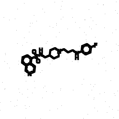 O=S(=O)(NCC1CCN(CCCNc2ccc(F)cc2)CC1)c1cccc2cnccc12